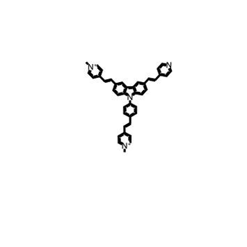 C[n+]1ccc(/C=C/c2ccc(-n3c4ccc(/C=C/c5ccncc5)cc4c4cc(/C=C/c5cc[n+](C)cc5)ccc43)cc2)cc1